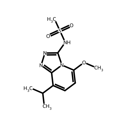 COc1ccc(C(C)C)c2nnc(NS(C)(=O)=O)n12